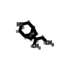 CCC(C)N1C2CCC1CNC2